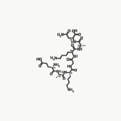 C[C@H](NC(=O)[C@H](CCCCN)NC(=O)CNC(=O)[C@H](CCCCN)NC(=O)[C@H](C)NC(=O)[C@@H](N)CCC(=O)O)C(=O)N[C@@H](CC(N)=O)C(=O)O